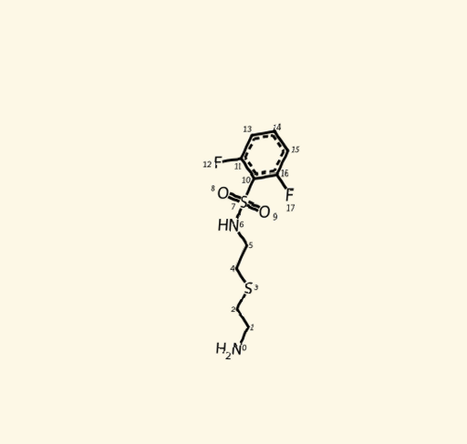 NCCSCCNS(=O)(=O)c1c(F)cccc1F